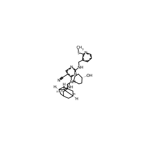 CSc1ncccc1CNc1ncc(C#N)c(NC[C@]23CC4C[C@H](C2)[C@@H](NC[C@H]2CC[C@@H](O)CC2)[C@@H](C4)C3)n1